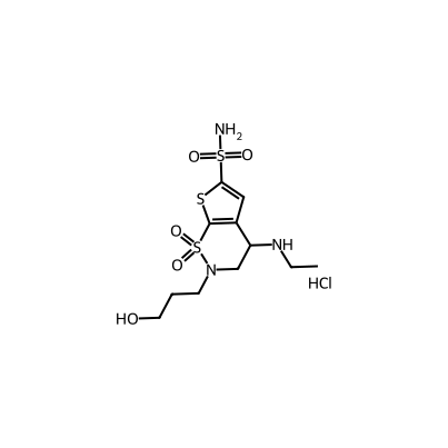 CCNC1CN(CCCO)S(=O)(=O)c2sc(S(N)(=O)=O)cc21.Cl